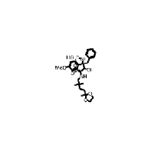 COc1ccc([C@](Cc2ccccc2)(NC(=O)O)[C@@H](O)C(NCC(C)(C)CCC2(C)OCCO2)=S(=O)=O)cc1